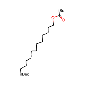 CCCCCCCCCCCCCCCCCCCCCCOC(=O)C(C)(C)C